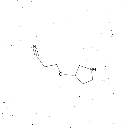 N#CCCO[C@H]1CCNC1